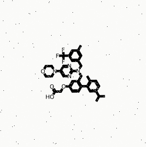 Cc1cc(CN(Cc2cc(OCC(=O)O)ccc2-c2cc(C(C)C)ccc2C)c2ncc(N3CCOCC3)cn2)cc(C(F)(F)F)c1